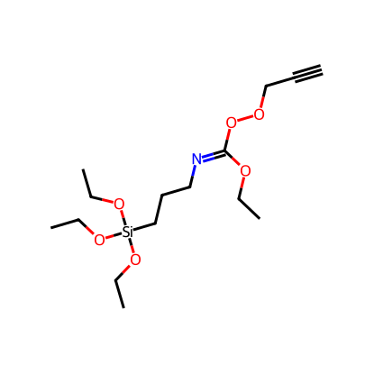 C#CCOOC(=NCCC[Si](OCC)(OCC)OCC)OCC